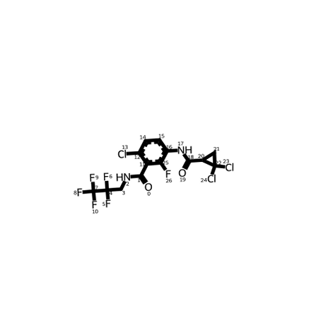 O=C(NCC(F)(F)C(F)(F)F)c1c(Cl)ccc(NC(=O)C2CC2(Cl)Cl)c1F